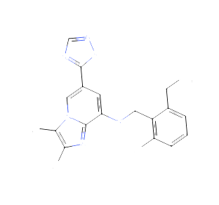 CCc1cccc(C)c1CNc1cc(-c2ncn[nH]2)cn2c(C)c(C)nc12